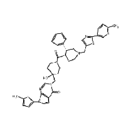 Cc1ccc(-c2ncc(CN3CC[C@@H](C(=O)N4CCC(O)(Cn5cnc6c(ccn6-c6ccc(C)s6)c5=O)CC4)[C@H](c4ccccc4)C3)s2)cn1